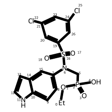 CCOP(=O)(O)CN(c1ccc2[nH]ccc2c1)S(=O)(=O)c1cc(Cl)cc(Cl)c1